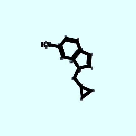 Nc1ccc2cnn(CC3CC3)c2c1